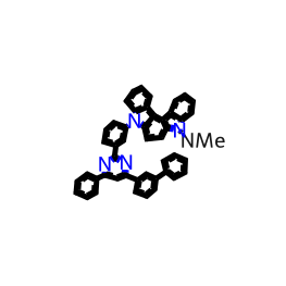 CNn1c2ccccc2c2c3c4ccccc4n(-c4cccc(-c5nc(-c6ccccc6)cc(-c6cccc(-c7ccccc7)c6)n5)c4)c3ccc21